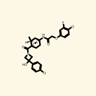 C[C@@H]1CC2(NC(=O)COc3ccc(Cl)c(F)c3)CCC1(C(=O)N1CC(O)(c3ccc(Cl)cc3)C1)CC2